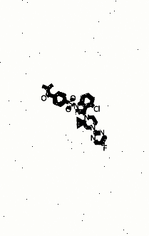 CC(C)C(=O)c1ccc(S(=O)(=O)n2nc(N3CCN(c4ncc(F)cn4)CC34CC4)c3c(Cl)cccc32)cc1